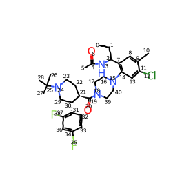 CCC(NC(C)=O)c1cc(C)c(Cl)cc1N1CCN(C(=O)[C@@H]2CCN(C(C)(C)C)C[C@H]2c2ccc(F)cc2F)CC1